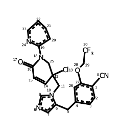 N#Cc1ccc(Cc2cncn2CC2(Cl)C=CC(=O)N(c3ccccn3)C2)cc1OCC(F)(F)F